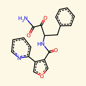 NC(=O)C(=O)C(Cc1ccccc1)NC(=O)c1cocc1-c1ccccn1